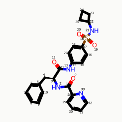 O=C(N[C@@H](Cc1ccccc1)C(=O)Nc1ccc(S(=O)(=O)NC2CCC2)cc1)c1ccccn1